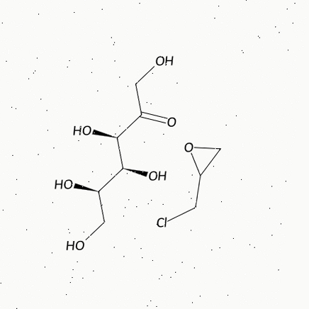 ClCC1CO1.O=C(CO)[C@H](O)[C@@H](O)[C@H](O)CO